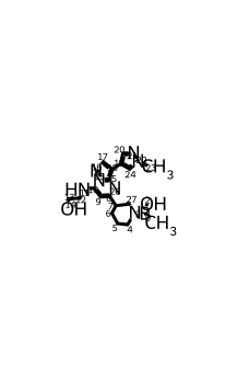 CB(O)N1CCCC(c2cc(NCCO)n3ncc(-c4cnn(C)c4)c3n2)C1